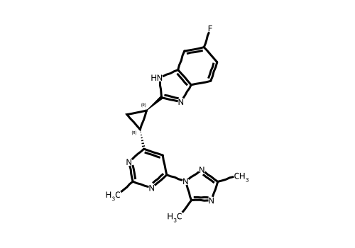 Cc1nc([C@@H]2C[C@H]2c2nc3ccc(F)cc3[nH]2)cc(-n2nc(C)nc2C)n1